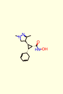 CC1=NN(C)CC1[C@H]1[C@H](C(=O)NO)[C@@H]1C1C=CC=CC1